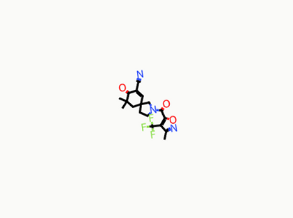 Cc1noc(C(=O)N2CCC3(C=C(C#N)C(=O)C(C)(C)C3)C2)c1C(F)(F)F